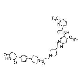 CC(C)Oc1cc2nc(C3CCN(CCC(=O)N4CCC(c5ccc(C6CCC(=O)NC6=O)cc5)CC4)CC3)cn2cc1NC(=O)c1cccc(C(F)(F)F)n1